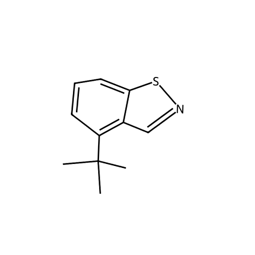 CC(C)(C)c1cccc2sncc12